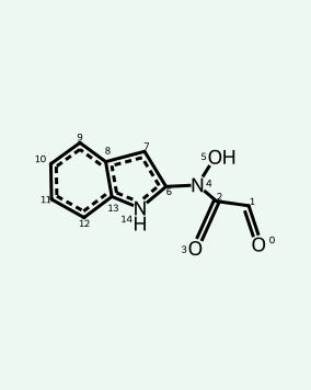 O=CC(=O)N(O)c1cc2ccccc2[nH]1